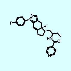 CCC(C[C@H]1CCC2=Cc3c(cnn3-c3ccc(F)cc3)C[C@@]21C)NC(=O)c1ccncc1